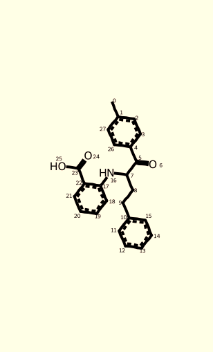 Cc1ccc(C(=O)C(CCc2ccccc2)Nc2ccccc2C(=O)O)cc1